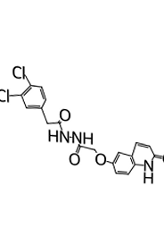 O=C(COc1ccc2[nH]c(=O)ccc2c1)NNC(=O)Cc1ccc(Cl)c(Cl)c1